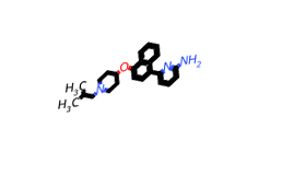 CC(C)CN1CCC(Oc2ccc(-c3cccc(N)n3)c3ccccc23)CC1